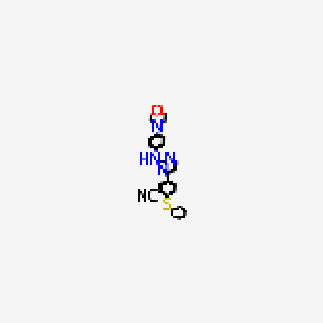 N#Cc1cc(-c2ccnc(Nc3ccc(N4CCOCC4)cc3)n2)ccc1SC1CCCCC1